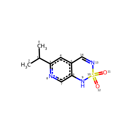 CC(C)c1cc2c(cn1)NS(=O)(=O)N=C2